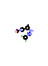 Cc1cc(Nc2ncn(-c3cc(F)cc(F)c3)n2)cc(C2=CCN(C3COC3)CC2)c1